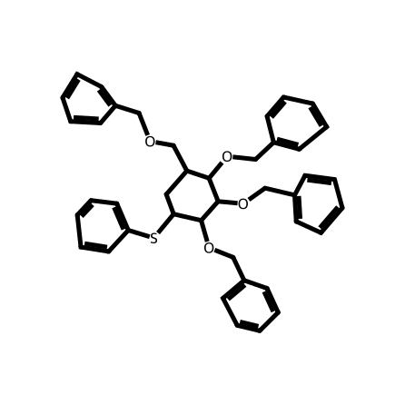 c1ccc(COCC2CC(Sc3ccccc3)C(OCc3ccccc3)C(OCc3ccccc3)C2OCc2ccccc2)cc1